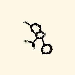 O=C(O)c1c(-c2ccccc2)nc2ccc(Cl)cn12